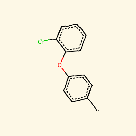 [CH2]c1ccc(Oc2ccccc2Cl)cc1